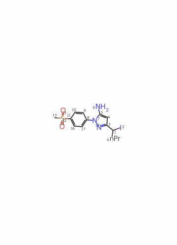 CCCC(I)c1cc(N)n(-c2ccc(S(C)(=O)=O)cc2)n1